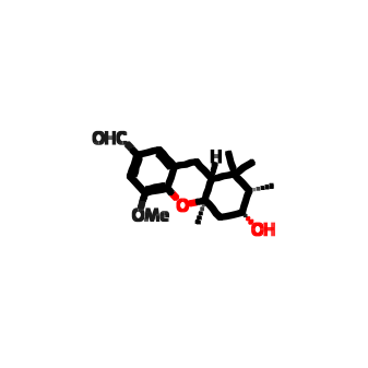 COc1cc(C=O)cc2c1O[C@]1(C)C[C@@H](O)[C@@H](C)C(C)(C)[C@H]1C2